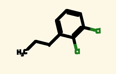 CC[CH]c1cccc(Cl)c1Cl